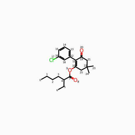 CCCCC(CC)C(=O)OC1=C(c2cccc(Cl)c2)C(=O)CC(C)(C)C1